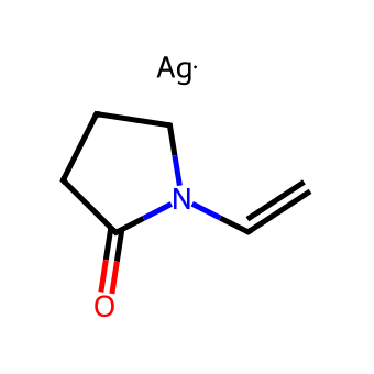 C=CN1CCCC1=O.[Ag]